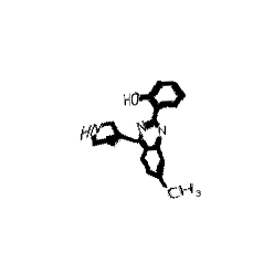 Cc1ccc2c([C]3CCNC3)nc(-c3ccccc3O)nc2c1